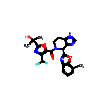 CC(C)(O)c1nc(C(F)F)c(C(=O)N2CCc3[nH]cnc3[C@H]2c2nc3cccc(C(F)(F)F)c3o2)o1